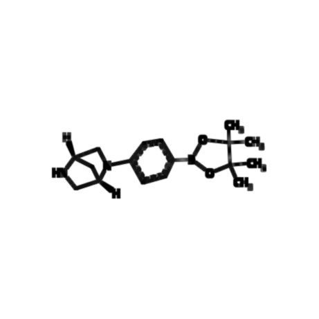 CC1(C)OB(c2ccc(N3C[C@@H]4C[C@H]3CN4)cc2)OC1(C)C